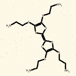 NCCSC1=C(SCCN)SC(=C2SC(SCCN)=C(SCCN)S2)S1